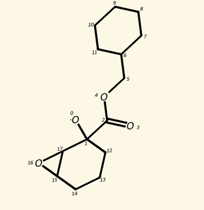 [O]C1(C(=O)OCC2CCCCC2)CCCC2OC21